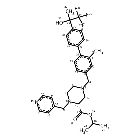 Cc1cc(CN2CCN(Cc3ccncc3)[C@@H](C(=O)OC(C)C)C2)ccc1-c1ccc(C(C)(O)C(F)(F)F)cc1